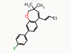 CC/C=C/C1=CC(C)(C)COc2cc(-c3ccc(F)cc3)ccc21